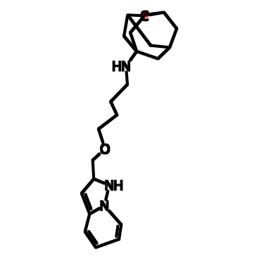 C1=CC2=CC(COCCCCNC34CCC5CC(CC(C5)C3)C4)NN2C=C1